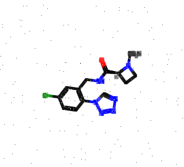 O=C(NCc1cc(Cl)ccc1-n1cnnn1)[C@@H]1CCN1C(=O)O